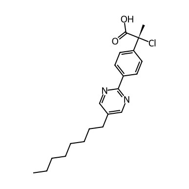 CCCCCCCCc1cnc(-c2ccc([C@@](C)(Cl)C(=O)O)cc2)nc1